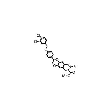 COC(=O)C1Cc2cc3c(cc2CN1C(C)C)OC(c1ccc(OCc2ccc(Cl)c(Cl)c2)cc1)CO3